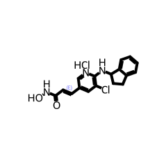 Cl.O=C(/C=C/c1cnc(NC2CCc3ccccc32)c(Cl)c1)NO